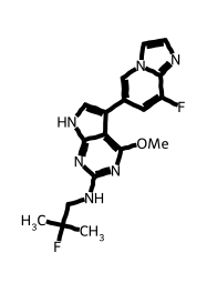 COc1nc(NCC(C)(C)F)nc2[nH]cc(-c3cc(F)c4nccn4c3)c12